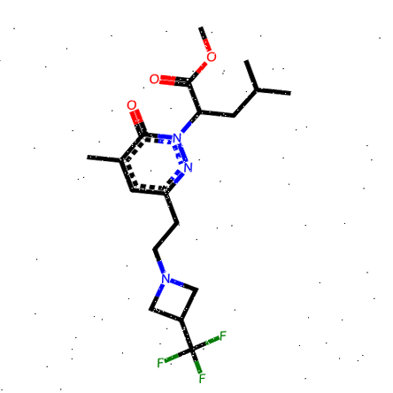 COC(=O)C(CC(C)C)n1nc(CCN2CC(C(F)(F)F)C2)cc(C)c1=O